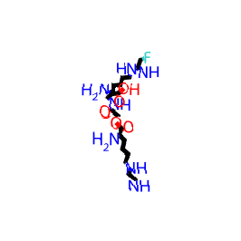 N=CCNCCCCC(N)C(=O)OCC(=O)NCC(N)(CCCCNC(=N)CF)C(=O)O